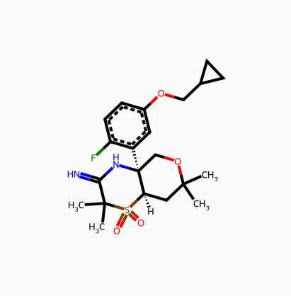 CC1(C)C[C@@H]2[C@](c3cc(OCC4CC4)ccc3F)(CO1)NC(=N)C(C)(C)S2(=O)=O